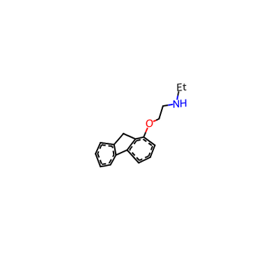 CCNCCOc1cccc2c1Cc1ccccc1-2